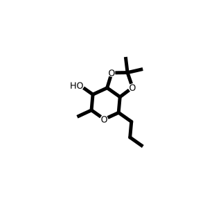 CCCC1OC(C)C(O)C2OC(C)(C)OC12